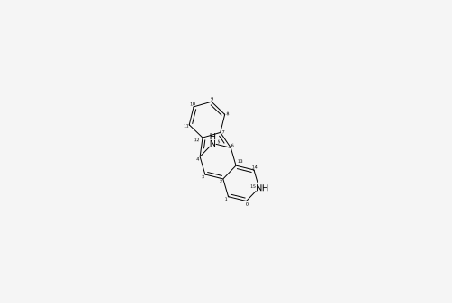 C1=CC2=Cc3[nH]c(c4ccccc34)C2=CN1